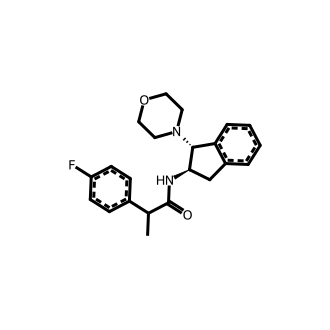 CC(C(=O)N[C@@H]1Cc2ccccc2[C@H]1N1CCOCC1)c1ccc(F)cc1